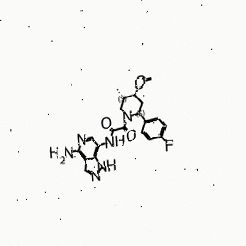 COC1C[C@@H](c2ccc(F)cc2)N(C(=O)C(=O)Nc2cnc(N)c3cn[nH]c23)C[C@@H]1C